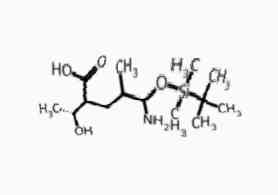 CC(CC(C(=O)O)[C@@H](C)O)C(N)O[Si](C)(C)C(C)(C)C